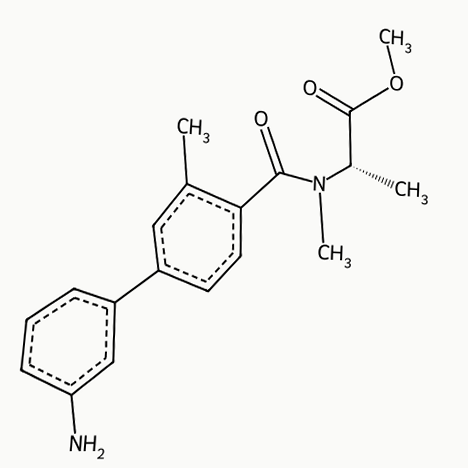 COC(=O)[C@H](C)N(C)C(=O)c1ccc(-c2cccc(N)c2)cc1C